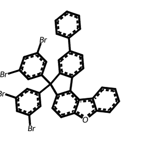 Brc1cc(Br)cc(C2(c3cc(Br)cc(Br)c3)c3cc(-c4ccccc4)ccc3-c3c2ccc2oc4ccccc4c32)c1